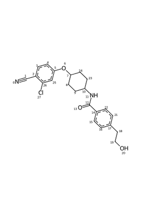 N#Cc1ccc(OC2CCC(NC(=O)c3ccc(CCO)cc3)CC2)cc1Cl